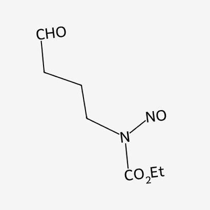 CCOC(=O)N(CCCC=O)N=O